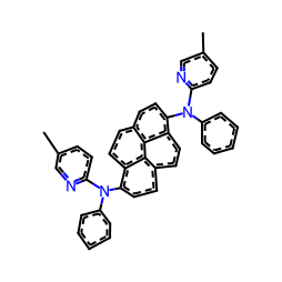 Cc1ccc(N(c2ccccc2)c2ccc3ccc4c(N(c5ccccc5)c5ccc(C)cn5)ccc5ccc2c3c54)nc1